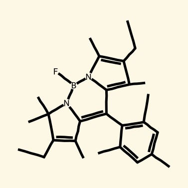 CCC1=C(C)C2=C(c3c(C)cc(C)cc3C)c3c(C)c(CC)c(C)n3B(F)N2C1(C)C